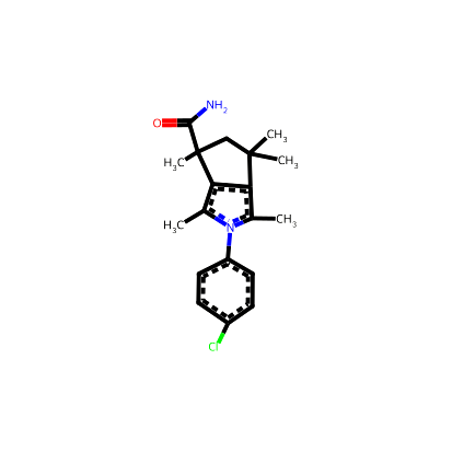 Cc1c2c(c(C)n1-c1ccc(Cl)cc1)C(C)(C(N)=O)CC2(C)C